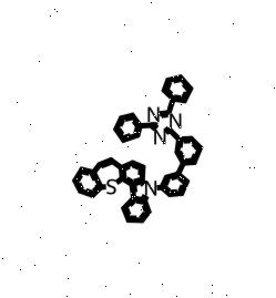 C1=Cc2ccc3c(c2Sc2ccccc21)c1ccccc1n3-c1cccc(-c2cccc(-c3nc(-c4ccccc4)nc(-c4ccccc4)n3)c2)c1